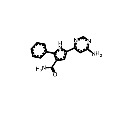 NC(=O)c1cc(-c2cc(N)ncn2)[nH]c1-c1ccccc1